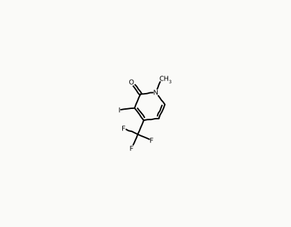 Cn1ccc(C(F)(F)F)c(I)c1=O